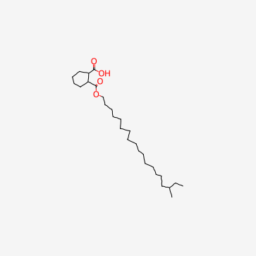 CCC(C)CCCCCCCCCCCCCCCCOC(=O)C1CCCCC1C(=O)O